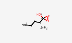 CCCCCCCC1(O)OO1.[SnH2]